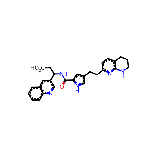 O=C(O)CC(NC(=O)c1cc(CCc2ccc3c(n2)NCCC3)c[nH]1)c1cnc2ccccc2c1